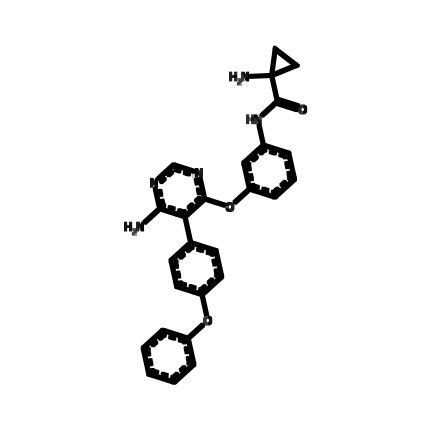 Nc1ncnc(Oc2cccc(NC(=O)C3(N)CC3)c2)c1-c1ccc(Oc2ccccc2)cc1